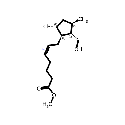 COC(=O)CCC/C=C\C[C@@H]1[C@@H](CO)[C@H](C)C[C@H]1Cl